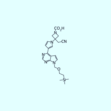 C[Si](C)(C)CCOCn1ccc2c(-c3ccn(C4(CC#N)CN(C(=O)O)C4)c3)ncnc21